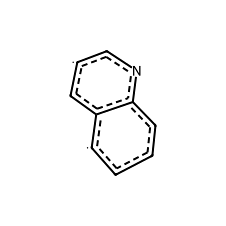 [c]1cnc2ccc[c]c2c1